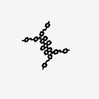 Cc1ccc(C=Cc2ccc(N(c3ccc(C=Cc4ccc(C)cc4)cc3)c3ccc(-c4c5ccccc5c(-c5ccc(N(c6ccc(C=Cc7ccc(C)cc7)cc6)c6ccc(C=Cc7ccc(C)cc7)cc6)c6ccccc56)c5ccccc45)c4ccccc34)cc2)cc1